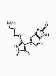 CNCCCOc1nn(C)c(C)c1-c1ccc2c(c1)CC(=O)N2